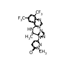 C[C@H](Nc1ncnc2c(C(F)(F)F)cc(C(F)(F)F)cc12)c1ncnn1-c1ccc(=O)n(C)n1